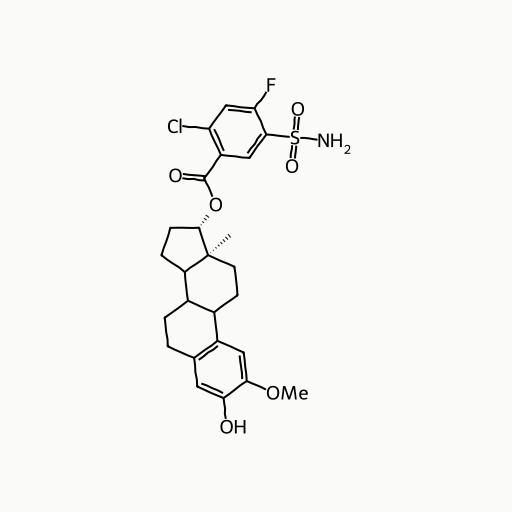 COc1cc2c(cc1O)CCC1C2CC[C@@]2(C)C1CC[C@@H]2OC(=O)c1cc(S(N)(=O)=O)c(F)cc1Cl